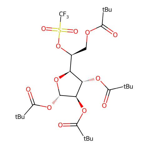 CC(C)(C)C(=O)OC[C@H](OS(=O)(=O)C(F)(F)F)[C@@H]1O[C@@H](OC(=O)C(C)(C)C)[C@H](OC(=O)C(C)(C)C)[C@H]1OC(=O)C(C)(C)C